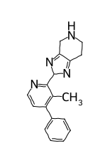 Cc1c(-c2ccccc2)ccnc1C1N=C2CCNCC2=N1